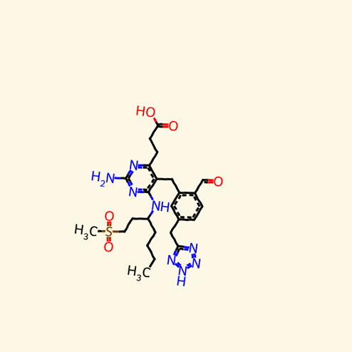 CCCCC(CCS(C)(=O)=O)Nc1nc(N)nc(CCC(=O)O)c1Cc1cc(Cc2nn[nH]n2)ccc1C=O